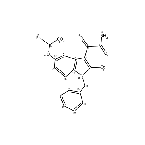 CCc1c(C(=O)C(N)=O)c2cc(OC(CC)C(=O)O)ccc2n1Cc1ccccc1